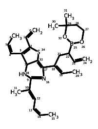 C=CC1=C(/C=C\C)C2NC(/C(C)=C/C=C\C)=NC(/C(=C/C)CC(C=C)B3OCCC(C)(C)O3)=C2S1